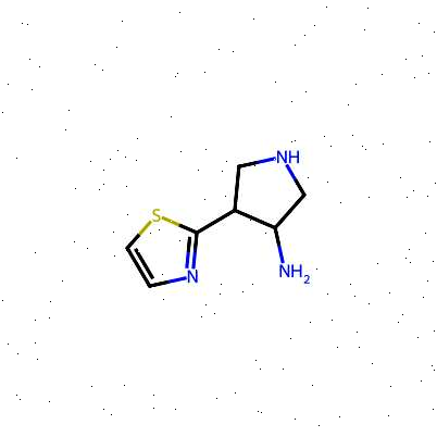 NC1CNCC1c1nccs1